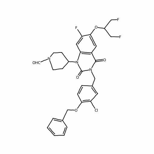 O=CN1CCC(n2c(=O)n(Cc3ccc(OCc4ccccc4)c(Cl)c3)c(=O)c3cc(OC(CF)CF)c(F)cc32)CC1